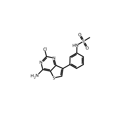 CS(=O)(=O)Nc1cccc(-c2csc3c(N)nc(Cl)nc23)c1